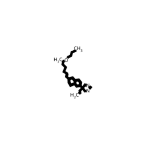 C=CCC1(c2ccc3cc(C=CCCCC(C)OCCCCC)ccc3c2)C=NC=NC1